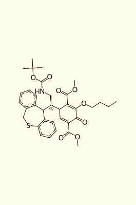 CCCCOC1=C(C(=O)OC)C([C@H](CNC(=O)OC(C)(C)C)C2c3ccccc3CSc3ccccc32)C=C(C(=O)OC)C1=O